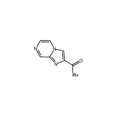 CCC(C)C(=O)c1cn2ccncc2n1